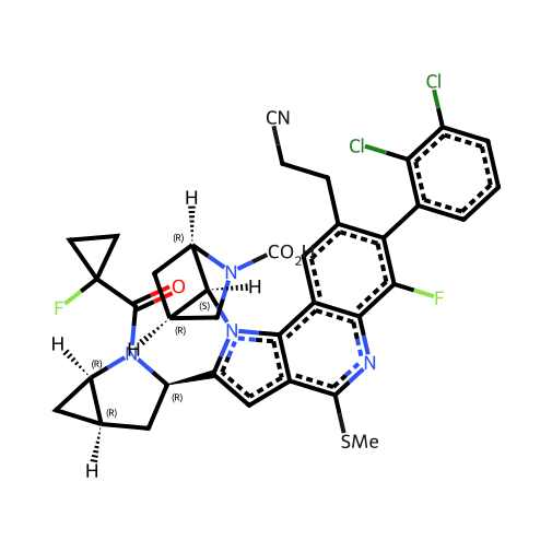 CSc1nc2c(F)c(-c3cccc(Cl)c3Cl)c(CCC#N)cc2c2c1cc([C@H]1C[C@H]3C[C@H]3N1C(=O)C1(F)CC1)n2[C@H]1[C@@H]2C[C@H]1N(C(=O)O)C2